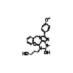 COc1ccc(-c2nc3c(n2Cc2ccccc2)C(=O)N(CCCO)C(O)N3C)cc1